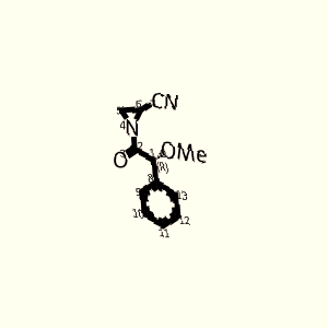 CO[C@@H](C(=O)N1CC1C#N)c1ccccc1